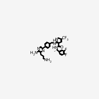 C[C@H](NC(=O)c1cc(C(F)(F)F)cnc1NCc1ccc(-c2cnc(N)c(CCCN)n2)cc1)c1ccc(F)c(F)c1